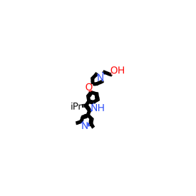 Cc1cc(-c2[nH]c3ccc(OC4CCN(CCO)CC4)cc3c2C(C)C)cc(C)n1